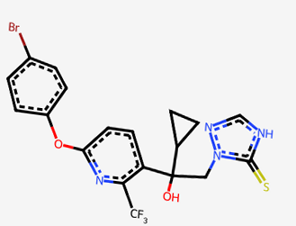 OC(Cn1nc[nH]c1=S)(c1ccc(Oc2ccc(Br)cc2)nc1C(F)(F)F)C1CC1